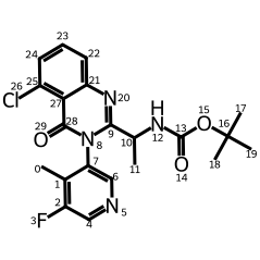 Cc1c(F)cncc1-n1c(C(C)NC(=O)OC(C)(C)C)nc2cccc(Cl)c2c1=O